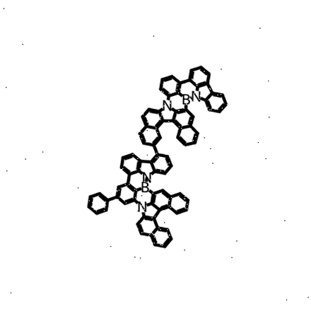 c1ccc(-c2cc3c4c(c2)-n2c5ccc6ccccc6c5c5c6ccccc6cc(c52)B4n2c4cccc(-c5ccc6ccc7c(c6c5)c5c6ccccc6cc6c5n7-c5cccc7c5B6n5c6ccccc6c6cccc-7c65)c4c4cccc-3c42)cc1